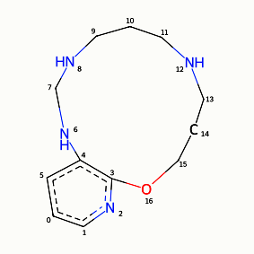 c1cnc2c(c1)NCNCCCNCCCO2